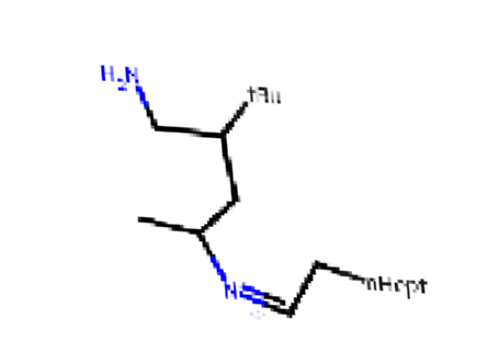 CCCCCCCC/C=N\C(C)CC(CN)C(C)(C)C